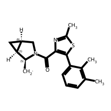 [CH2][C@H]1[C@H]2C[C@H]2CN1C(=O)c1nc(C)sc1-c1cccc(C)c1C